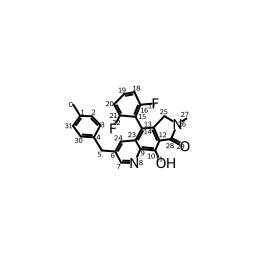 Cc1ccc(Cc2cnc3c(O)c4c(c(-c5c(F)cccc5F)c3c2)CN(C)C4=O)cc1